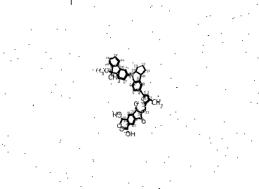 Cc1cc(-c2ccc3c(c2)C2CCCC2N3c2ccc3c(c2)-c2ccccc2C3(C)C)sc1C=C1C(=O)c2cc(C(=O)O)c(C(=O)O)cc2C1=O